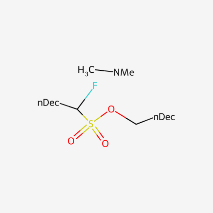 CCCCCCCCCCCOS(=O)(=O)C(F)CCCCCCCCCC.CNC